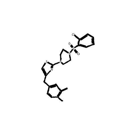 Cc1ccc(Cc2csc(N3CCN(S(=O)(=O)c4ccccc4Cl)CC3)n2)cc1C